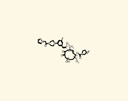 C/C(=C\c1cc(F)cc(N2CCN(C(=O)Cn3cccn3)CC2)c1)[C@H]1C(=O)C(=O)C[C@H](O)CC[C@H](C)[C@@H](OC(=O)N2CC[C@@H](F)C2)/C=C/[C@@H]1C